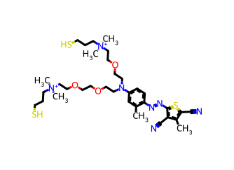 Cc1cc(N(CCOCCOCC[N+](C)(C)CCCS)CCOCC[N+](C)(C)CCCS)ccc1/N=N/c1sc(C#N)c(C)c1C#N